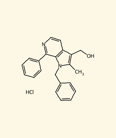 Cc1c(CO)c2ccnc(-c3ccccc3)c2n1Cc1ccccc1.Cl